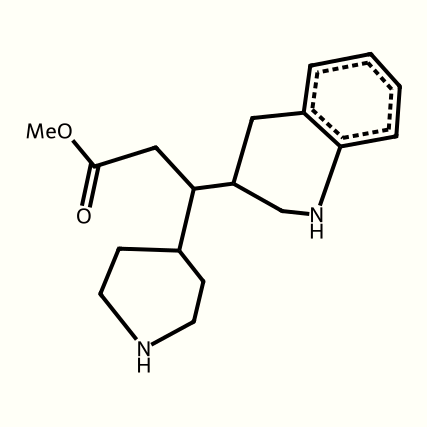 COC(=O)CC(C1CCNCC1)C1CNc2ccccc2C1